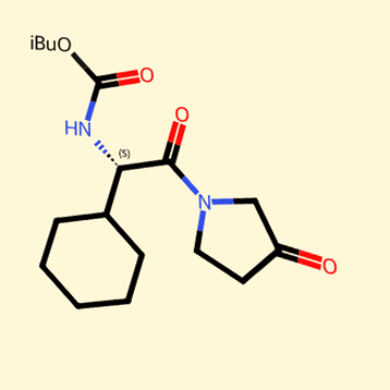 CC(C)COC(=O)N[C@H](C(=O)N1CCC(=O)C1)C1CCCCC1